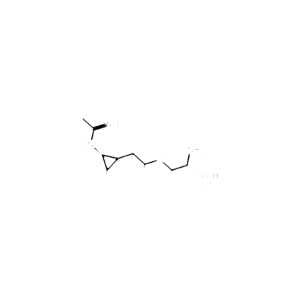 CC(=N)N[C@@H]1CC1CCSC[C@H](N)C(=O)O